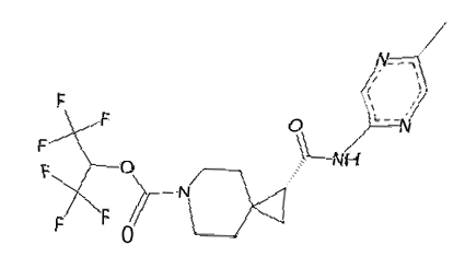 Cc1cnc(NC(=O)[C@@H]2CC23CCN(C(=O)OC(C(F)(F)F)C(F)(F)F)CC3)cn1